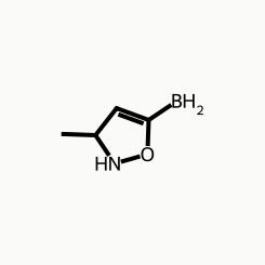 BC1=CC(C)NO1